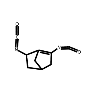 O=C=NC1=C2CC(C1)CC2N=C=O